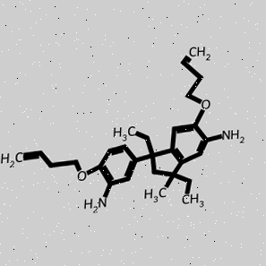 C=CCCOc1ccc(C2(CC)CC(C)(CC)c3cc(N)c(OCCC=C)cc32)cc1N